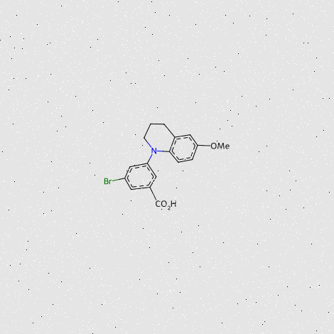 COc1ccc2c(c1)CCCN2c1cc(Br)cc(C(=O)O)c1